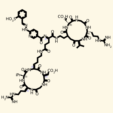 CC(C)=C1NC(=O)[C@@H](CCCNC(=N)N)NC(=O)CNC(=O)[C@@H](CC(=O)O)NC(=O)C(CCNC(=O)/C(CCC(=O)NCCC/C=C2/NC(=O)[C@H](C(C)C)NC(=O)/C(=C\CCNC(=N)N)NC(=O)CNC(=O)/C(=C/C(=O)O)NC2=O)=N/C(=O)c2ccc(NN=Cc3ccccc3S(=O)(=O)O)nc2)CC1=O